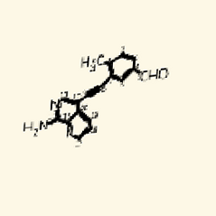 Cc1ccc(C=O)cc1C#Cc1cnc(N)c2ncccc12